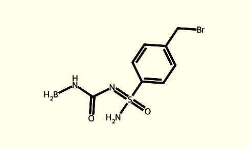 BNC(=O)N=S(N)(=O)c1ccc(CBr)cc1